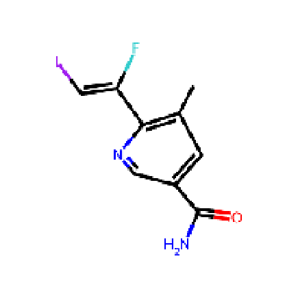 Cc1cc(C(N)=O)cnc1C(F)=CI